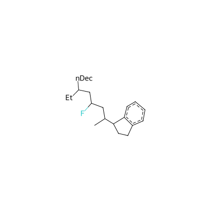 CCCCCCCCCCC(CC)CC(F)CC(C)C1CCc2ccccc21